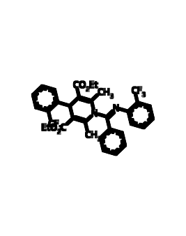 CCOC(=O)C1=C(C)N(C(=Nc2ccccc2C(F)(F)F)c2ccccc2)C(C)=C(C(=O)OCC)C1c1ccccc1C(F)(F)F